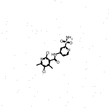 Cc1nc(Cl)c(C(=O)Nc2ccnc(S(N)(=O)=O)c2)c(C)c1Cl